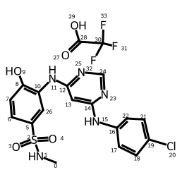 CNS(=O)(=O)c1ccc(O)c(Nc2cc(Nc3ccc(Cl)cc3)ncn2)c1.O=C(O)C(F)(F)F